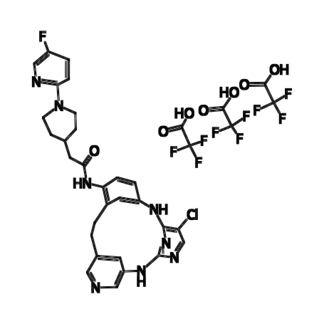 O=C(CC1CCN(c2ccc(F)cn2)CC1)Nc1ccc2cc1CCc1cncc(c1)Nc1ncc(Cl)c(n1)N2.O=C(O)C(F)(F)F.O=C(O)C(F)(F)F.O=C(O)C(F)(F)F